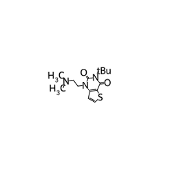 CN(C)CCn1c(=O)n(C(C)(C)C)c(=O)c2sccc21